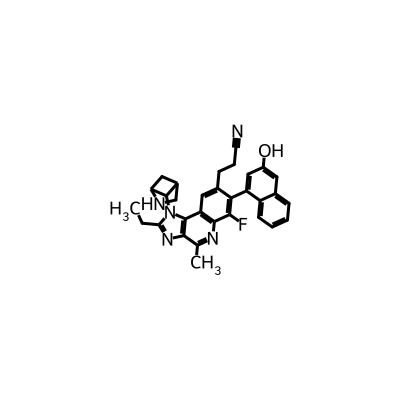 CCc1nc2c(C)nc3c(F)c(-c4cc(O)cc5ccccc45)c(CCC#N)cc3c2n1C1C2CNC1C2